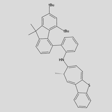 C[C@H]1C=c2c(sc3ccccc23)=CC=C1Nc1ccccc1-c1cccc2c1-c1c(C(C)(C)C)cc(C(C)(C)C)cc1C2(C)C